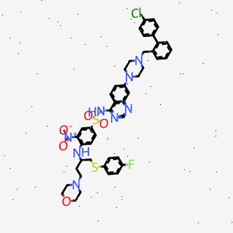 O=[N+]([O-])c1cc(S(=O)(=O)Nc2ncnc3cc(N4CCN(Cc5ccccc5-c5ccc(Cl)cc5)CC4)ccc23)ccc1NC(CCN1CCOCC1)CSc1ccc(F)cc1